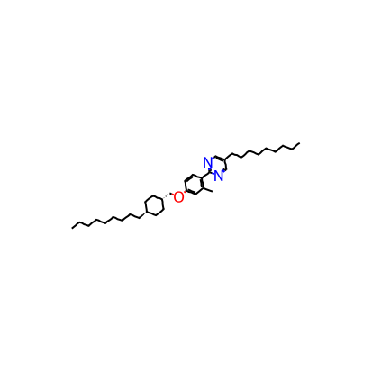 CCCCCCCCCc1cnc(-c2ccc(OC[C@H]3CC[C@H](CCCCCCCCC)CC3)cc2C)nc1